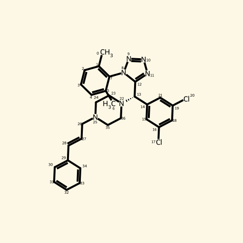 Cc1cccc(C)c1-n1nnnc1[C@H](c1cc(Cl)cc(Cl)c1)N1CCN(C/C=C/c2ccccc2)CC1